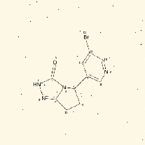 O=c1[nH]nc2n1C(c1cncc(Br)c1)CC2